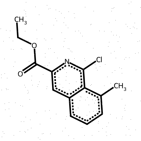 CCOC(=O)c1cc2cccc(C)c2c(Cl)n1